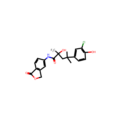 CC(C)(CC(O)(C(=O)Nc1ccc2c(c1)COC2=O)C(F)(F)F)c1ccc(O)c(Cl)c1